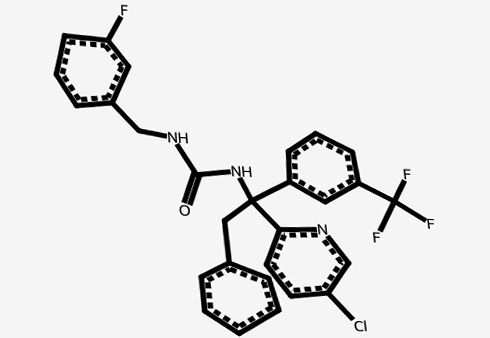 O=C(NCc1cccc(F)c1)NC(Cc1ccccc1)(c1cccc(C(F)(F)F)c1)c1ccc(Cl)cn1